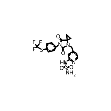 NS(=O)(=O)Nc1cc(CN2C(=O)N(c3ccc(SC(F)(F)F)cc3)C(=O)C23CC3)ccn1